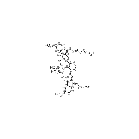 COCCN1/C(=C/C=C2\CCCC(/C=C/C3=[N+](CCOCCC(=O)O)c4ccc(S(=O)(=O)O)cc4C3(C)CCCS(=O)(=O)O)=C2Cl)C(C)(CCCS(=O)(=O)O)c2cc(S(=O)(=O)O)ccc21